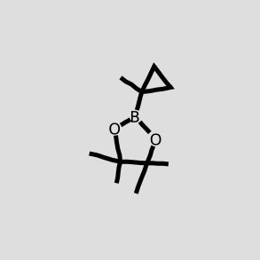 CC1(B2OC(C)(C)C(C)(C)O2)CC1